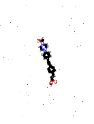 COC(=O)/C=C/c1ccc(C#Cc2ccc(N3CCN(C(C)=O)CC3)cc2)cc1